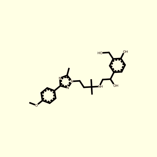 COc1ccc(-c2nc(C)n(CCC(C)(C)NCC(O)c3ccc(O)c(CO)c3)n2)cc1